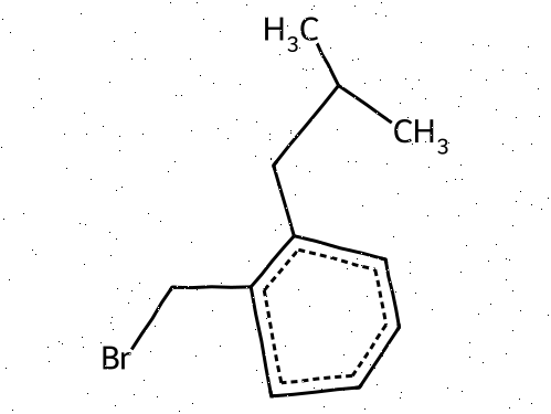 CC(C)Cc1ccccc1CBr